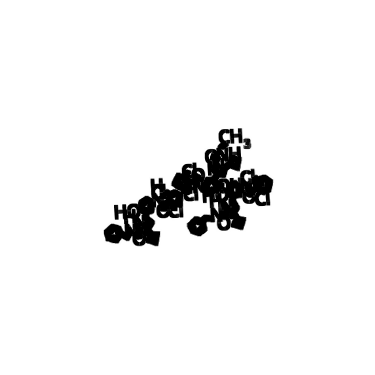 CCCNC(=O)n1nc(-c2cc(NC(=O)c3c(Cl)cccc3Cl)ccc2O)cc1C1CCC1.O=C(Nc1ccc(O)c(-c2cc(C3CCC3)n(C(=O)NCCc3ccccc3)n2)c1)c1c(Cl)cccc1Cl.O=C(Nc1ccc(O)c(-c2cc(C3CCC3)n(C(=O)NCc3ccccc3)n2)c1)c1c(Cl)cccc1Cl